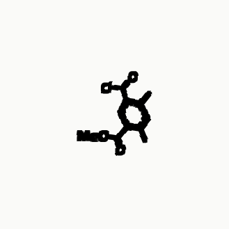 COC(=O)c1cc(C(=O)Cl)c(C)cc1C